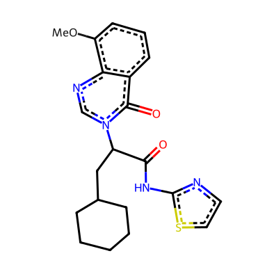 COc1cccc2c(=O)n(C(CC3CCCCC3)C(=O)Nc3nccs3)cnc12